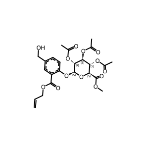 C=CCOC(=O)c1cc(CO)ccc1O[C@@H]1O[C@H](C(=O)OC)[C@@H](OC(C)=O)[C@H](OC(C)=O)[C@H]1OC(C)=O